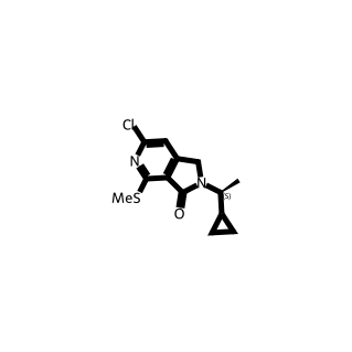 CSc1nc(Cl)cc2c1C(=O)N([C@@H](C)C1CC1)C2